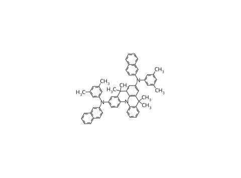 Cc1cc(C)cc(N(C2=CC3=C4C(C2)C(C)(C)c2cc(N(c5cc(C)cc(C)c5)c5ccc6ccccc6c5)ccc2N4c2ccccc2C3(C)C)c2ccc3ccccc3c2)c1